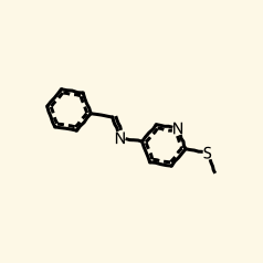 CSc1ccc(N=Cc2ccccc2)cn1